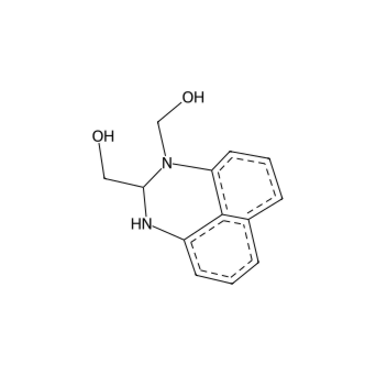 OCC1Nc2cccc3cccc(c23)N1CO